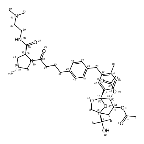 CC(=O)O[C@H]1C[C@]2(C(C)(C)O)CO[C@@](c3ccc(C)c(Cc4ccc(CCCC(=O)N5C[C@H](F)C[C@H]5C(=O)NCCN(C)C)cc4)c3)(O2)[C@@H]1OC(C)=O